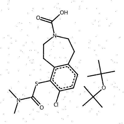 CC(C)(C)OC(C)(C)C.CN(C)C(=O)Sc1c(Cl)ccc2c1CCN(C(=O)O)CC2